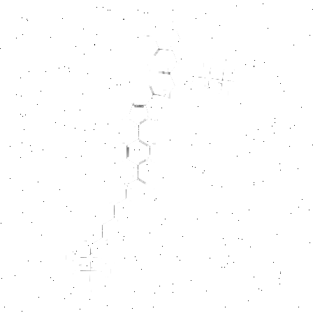 COC(=O)[C@H](CO)NC(=O)[C@H](CO[Si](C)(C)C(C)(C)C)NC(=O)c1csc(-c2ccc(C(=O)NCCCCCO[Si](C)(C)C(C)(C)C)nc2)n1